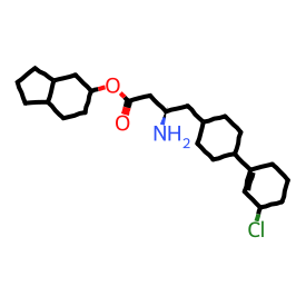 N[C@@H](CC(=O)OC1CCC2CCCC2C1)CC1CCC(C2=CC(Cl)CCC2)CC1